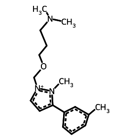 Cc1cccc(-c2cc[n+](COCCCN(C)C)n2C)c1